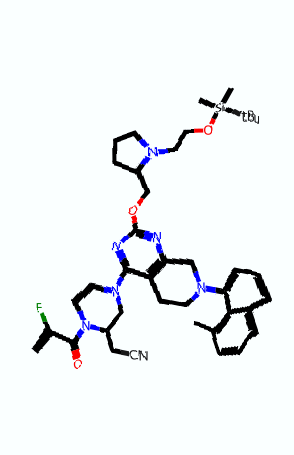 C=C(F)C(=O)N1CCN(c2nc(OCC3CCCN3CCO[Si](C)(C)C(C)(C)C)nc3c2CCN(c2cccc4cccc(C)c24)C3)CC1CC#N